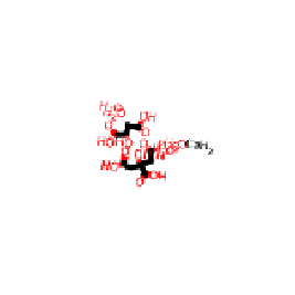 O.O.O.O.O.O=C(O)CC(O)(CC(=O)O)C(=O)O.O=C(O)CC(O)C(=O)O.[CaH2]